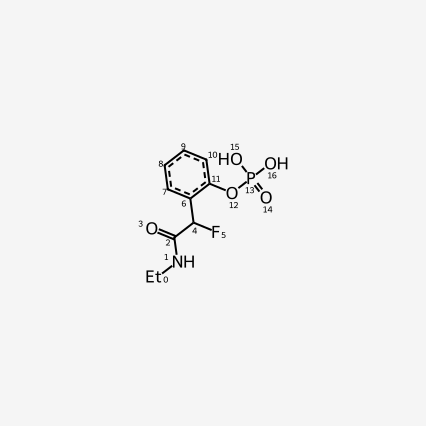 CCNC(=O)C(F)c1ccccc1OP(=O)(O)O